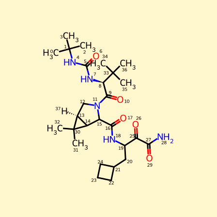 CC(C)(C)NC(=O)N[C@H](C(=O)N1C[C@H]2C(C1C(=O)NC(CC1CCC1)C(=O)C(N)=O)C2(C)C)C(C)(C)C